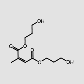 CC(=CC(=O)OCCCO)C(=O)OCCCO